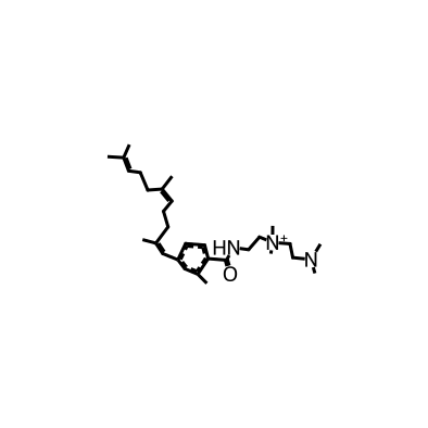 CC(C)=CCCC(C)=CCCC(C)=Cc1ccc(C(=O)NCC[N+](C)(C)CCN(C)C)c(C)c1